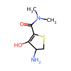 CN(C)C(=O)C1=C(O)C(N)CS1